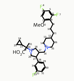 COc1cc(F)cc(F)c1CCCC1CCN(CC2CN(C(C)(C(=O)O)C3CC3)CC2c2cccc(F)c2)CC1